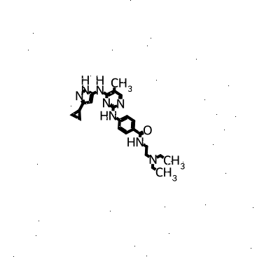 CCN(CC)CCNC(=O)c1ccc(Nc2ncc(C)c(Nc3cc(C4CC4)n[nH]3)n2)cc1